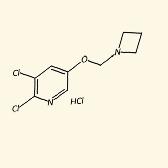 Cl.Clc1cc(OCN2CCC2)cnc1Cl